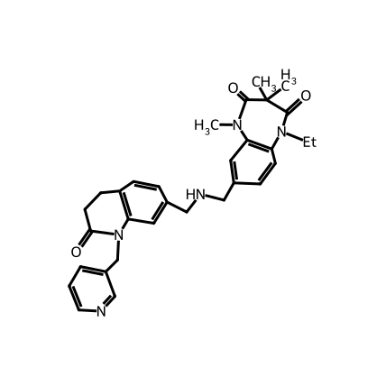 CCN1C(=O)C(C)(C)C(=O)N(C)c2cc(CNCc3ccc4c(c3)N(Cc3cccnc3)C(=O)CC4)ccc21